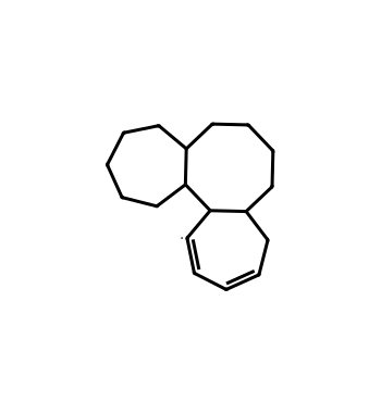 [C]1=CC=CCC2CCCCC3CCCCCC3C12